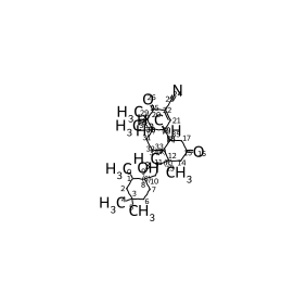 CC1CC(C)(C)CC[C@]1(O)CC[C@]1(C)CC(=O)C[C@@H]2[C@@]3(C)C=C(C#N)C(=O)C(C)(C)[C@@H]3CC[C@]21C